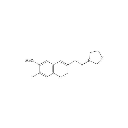 COc1cc2c(cc1C)CCC(CCN1CCCC1)=C2